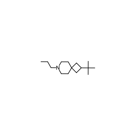 CCCN1CCC2(CC1)CC(C(C)(C)C)C2